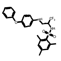 Cc1cc(C)c(S(=O)(=O)NC(CNc2ccc(Oc3ccccc3)cc2)C(F)(F)F)c(C)c1